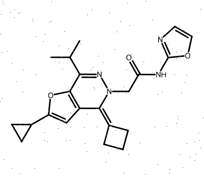 CC(C)C1=NN(CC(=O)Nc2ncco2)C(=C2CCC2)c2cc(C3CC3)oc21